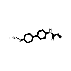 C=CC(=O)NC1CCC(C2CCC(OCCCCCC)CC2)CC1